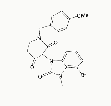 COc1ccc(CN2CCC(=O)C(n3c(=O)n(C)c4c(Br)cccc43)C2=O)cc1